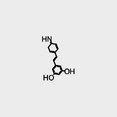 N=C1C=CC(C=Cc2cc(O)cc(O)c2)=CC1